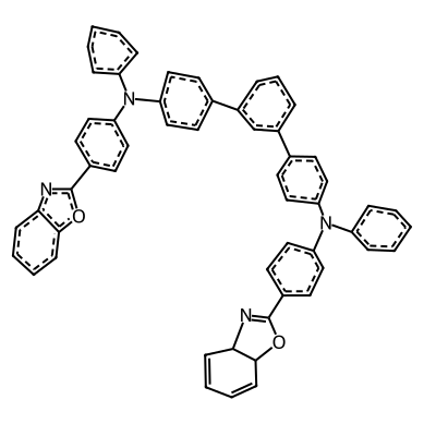 C1=CC2N=C(c3ccc(N(c4ccccc4)c4ccc(-c5cccc(-c6ccc(N(c7ccccc7)c7ccc(-c8nc9ccccc9o8)cc7)cc6)c5)cc4)cc3)OC2C=C1